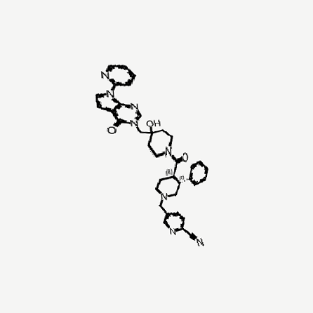 N#Cc1ccc(CN2CC[C@@H](C(=O)N3CCC(O)(Cn4cnc5c(ccn5-c5ccccn5)c4=O)CC3)[C@H](c3ccccc3)C2)cn1